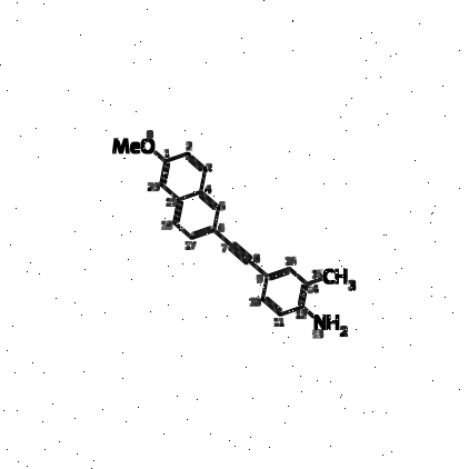 COc1ccc2cc(C#Cc3ccc(N)c(C)c3)ccc2c1